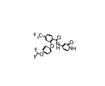 O=C(Nc1cc[nH]c(=O)c1)c1ccc(C(F)(F)F)cc1Oc1ccc(OC(F)F)cc1